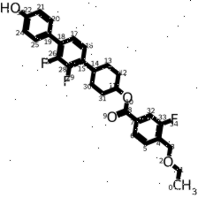 CCOCc1ccc(C(=O)OC2CCC(c3ccc(-c4ccc(O)cc4)c(F)c3F)CC2)cc1F